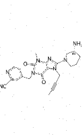 CC#CCn1c(N2CCC[C@@H](N)C2)nc2c1c(=O)n(Cc1ccnc(C#N)c1)c(=O)n2C